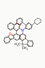 CC1(C)c2ccccc2-c2cc(N(c3ccc(C4CCCCC4)cc3-c3ccccc3)c3ccc4ccccc4c3-c3cccc4c3oc3ccccc34)ccc21